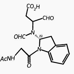 CC(=O)NCC(=O)N1c2ccccc2C[C@H]1N(C=O)C(C=O)CC(=O)O